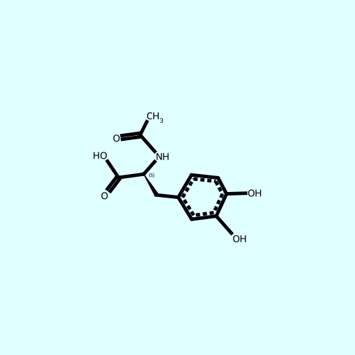 CC(=O)N[C@@H](Cc1ccc(O)c(O)c1)C(=O)O